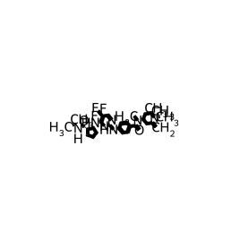 C=C1CC(N(C)C(=O)c2ccc(Nc3ncc(C(F)(F)F)c(N[C@@H]4CCC[C@@H]4C(=O)NC(C)C)n3)cc2)CC(C)(C)N1C